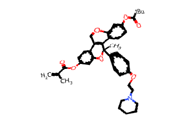 C=C(C)C(=O)Oc1ccc2c(c1)OC(C)(c1ccc(OCCN3CCCCC3)cc1)C1=C2COc2cc(OC(=O)C(C)(C)C)ccc21